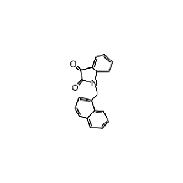 O=C1C(=O)N(Cc2cccc3ccccc23)c2ccccc21